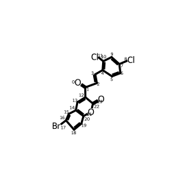 O=C(C=Cc1ccc(Cl)cc1Cl)c1cc2cc(Br)ccc2oc1=O